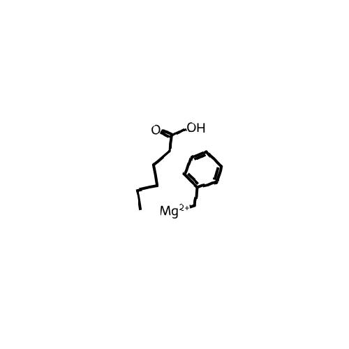 CCCCCC(=O)O.[Mg+2][CH2]c1ccccc1